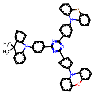 CC1(C)c2ccccc2N(c2ccc(-c3nc(-c4ccc(N5c6ccccc6Oc6ccccc65)cc4)nc(-c4ccc(N5c6ccccc6Sc6ccccc65)cc4)n3)cc2)c2ccccc21